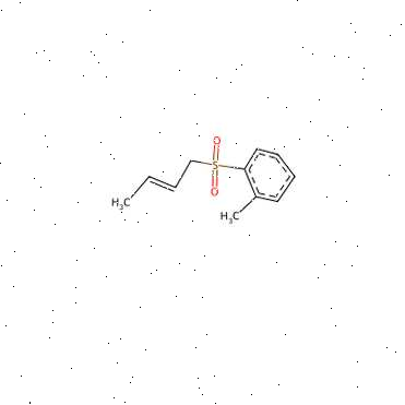 CC=CCS(=O)(=O)c1ccccc1C